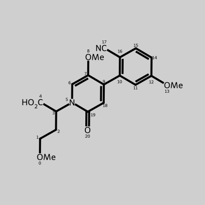 COCCC(C(=O)O)n1cc(OC)c(-c2cc(OC)ccc2C#N)cc1=O